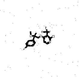 COC(C)(COc1ccnc(Cl)c1C(F)(F)F)c1ccc(F)cc1